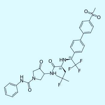 CC(C)(F)C[C@H](N[C@@H](c1ccc(-c2ccc(S(C)(=O)=O)cc2)cc1)C(F)(F)F)C(=O)NC1CN(C(=O)Nc2ccccc2)CC1=O